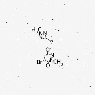 Cn1ccc([C@H]2C[C@@H]2COc2cc(Br)c(=O)n(C)n2)n1